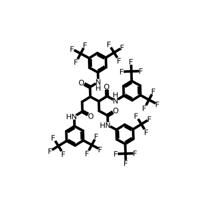 O=C(CC(C(=O)Nc1cc(C(F)(F)F)cc(C(F)(F)F)c1)C(CC(=O)Nc1cc(C(F)(F)F)cc(C(F)(F)F)c1)C(=O)Nc1cc(C(F)(F)F)cc(C(F)(F)F)c1)Nc1cc(C(F)(F)F)cc(C(F)(F)F)c1